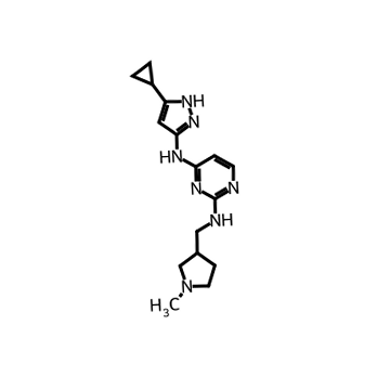 CN1CCC(CNc2nccc(Nc3cc(C4CC4)[nH]n3)n2)C1